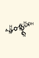 CC(C)(O)CNc1cc(-c2ccncc2)nn2c(-c3ccc(-c4cnc(C5CC5)[nH]4)cc3)cnc12